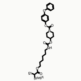 CCCCCCCC(CC)C(=O)OCCCCCCNC(=O)OC1CCN(C(=O)Oc2ccc(Oc3ccccc3)cc2)CC1